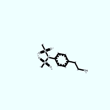 CS(=O)(=O)N(c1ccc(CCO)cc1)S(C)(=O)=O